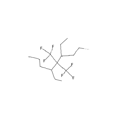 CCCC(CC)C(C(CC)CCC)(C(F)(F)F)C(F)(F)F